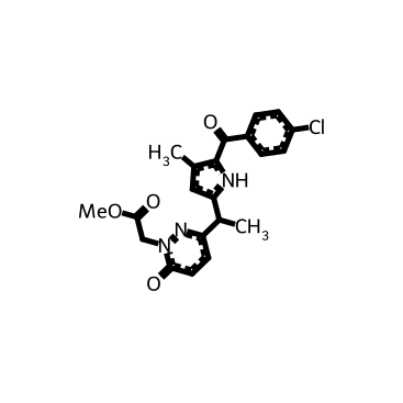 COC(=O)Cn1nc(C(C)c2cc(C)c(C(=O)c3ccc(Cl)cc3)[nH]2)ccc1=O